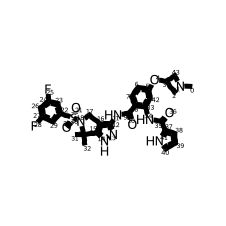 CN1CC(Oc2ccc(C(=O)Nc3n[nH]c4c3CN(S(=O)(=O)c3cc(F)cc(F)c3)C4(C)C)c(NC(=O)c3ccc[nH]3)c2)C1